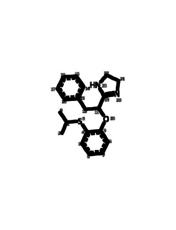 CC(C)Sc1ccccc1OC(Cc1ccccc1)C1=NCCN1